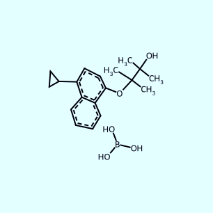 CC(C)(O)C(C)(C)Oc1ccc(C2CC2)c2ccccc12.OB(O)O